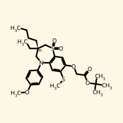 CCCC[C@]1(CC)CN(c2ccc(OC)cc2)c2cc(SC)c(OCC(=O)OC(C)(C)C)cc2S(=O)(=O)C1